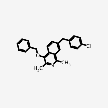 [CH2]c1nc(C)c2cc(Cc3ccc(Cl)cc3)ccc2c1OCc1ccccc1